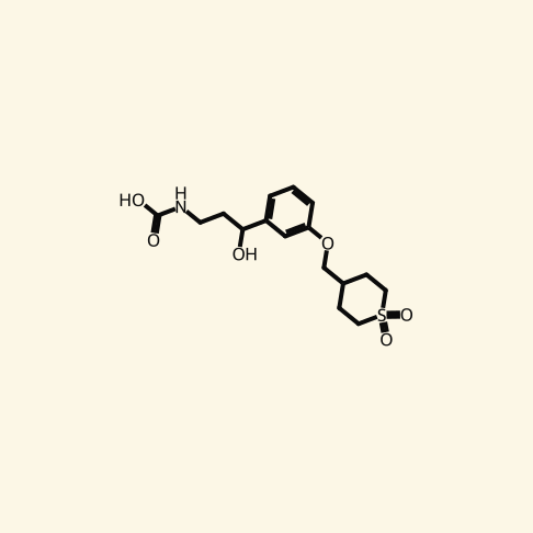 O=C(O)NCCC(O)c1cccc(OCC2CCS(=O)(=O)CC2)c1